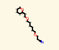 N#CCCOCCCCCCOCCC1CCCCO1